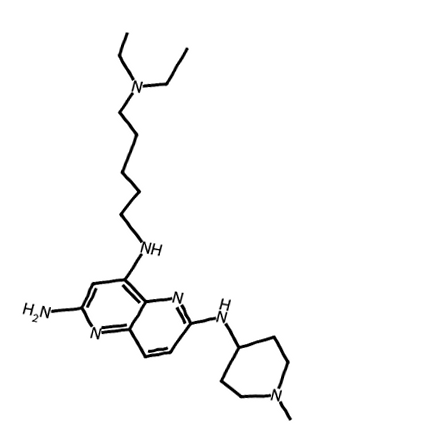 CCN(CC)CCCCCNc1cc(N)nc2ccc(NC3CCN(C)CC3)nc12